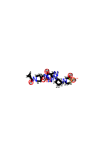 O=C(C1CC1)N1CCC(O)(Cn2cnc3c(cnn3-c3cccc(N4CC[S+]([O-])C(=O)C4)c3)c2=O)CC1